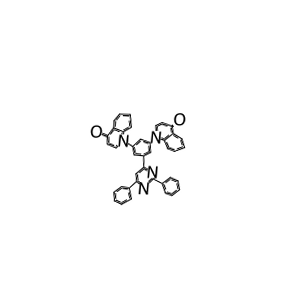 O=c1ccn(-c2cc(-c3cc(-c4ccccc4)nc(-c4ccccc4)n3)cc(-n3ccc(=O)c4ccccc43)c2)c2ccccc12